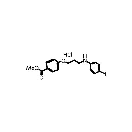 COC(=O)c1ccc(OCCCNc2ccc(I)cc2)cc1.Cl